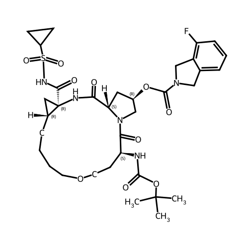 CC(C)(C)OC(=O)N[C@H]1CCOCCCC[C@@H]2C[C@@]2(C(=O)NS(=O)(=O)C2CC2)NC(=O)[C@@H]2C[C@@H](OC(=O)N3Cc4cccc(F)c4C3)CN2C1=O